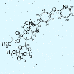 CCOP(=O)(OCC)C(Cc1nc(-c2ccc(Oc3ccccn3)cc2)no1)C(=O)OC(C)(C)C